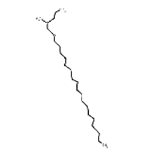 CCCCCCCCCCCCCCCCCCOCN(C)CCC